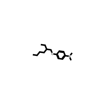 CCCCC(CC)COc1ccc(N(C)C)cc1